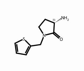 N[C@H]1CCN(Cc2cccs2)C1=O